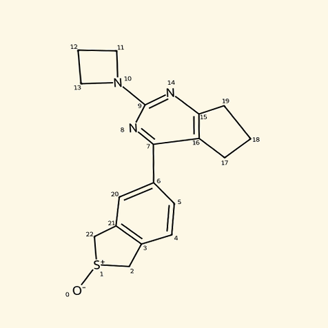 [O-][S+]1Cc2ccc(-c3nc(N4CCC4)nc4c3CCC4)cc2C1